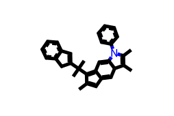 CC1=CC2=CC3C(=CC2=C1C(C)(C)C1=Cc2ccccc2C1)N(c1ccccc1)C(C)=C3C